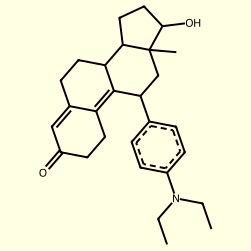 CCN(CC)c1ccc(C2CC3(C)C(O)CCC3C3CCC4=CC(=O)CCC4=C23)cc1